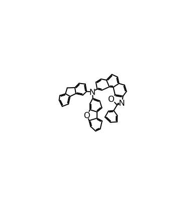 c1ccc(-c2nc3ccc4ccc5ccc(N(c6ccc7c(c6)-c6ccccc6C7)c6ccc7c(c6)oc6ccccc67)cc5c4c3o2)cc1